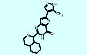 Cc1[nH]ncc1-c1cc2nc(C3NCCC4CCCCC43)[nH]c(=O)c2s1